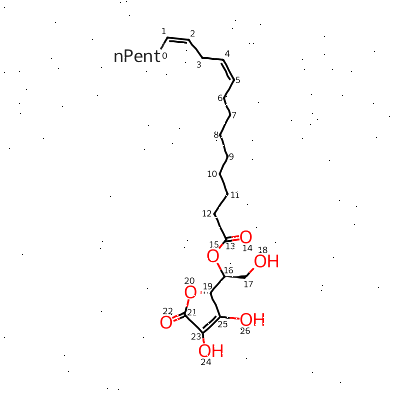 CCCCC/C=C\C/C=C\CCCCCCCC(=O)O[C@@H](CO)[C@H]1OC(=O)C(O)=C1O